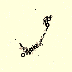 CCCCNc1ncc(C(=N)c2ccc(S(=O)(=O)N3CCN(C(=O)NCCCOCCCOCCCc4ccc5c(c4)n(C)c(=O)n5C4CCC(=O)NC4=O)CC3)cc2)c(NC2CCCCC2)n1